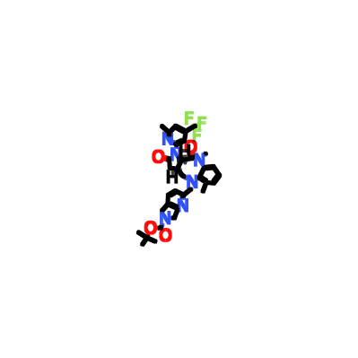 Cc1cc(C(F)(F)F)cc(N2C(=O)C[C@@H]3CN(Cc4ccc5c(n4)CN(C(=O)OC(C)(C)C)C5)c4c(C)cccc4N(C)C(=O)[C@H]32)n1